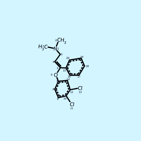 CN(C)CC=C(Oc1ccc(Cl)c(Cl)c1)c1ccccc1